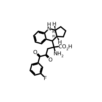 NC(CC(=O)C(=O)c1cccc(F)c1)(C(=O)O)C1c2ccccc2N[C@@H]2CCC[C@H]12